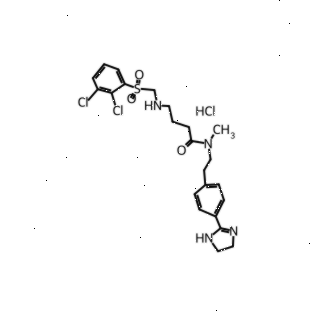 CN(CCc1ccc(C2=NCCN2)cc1)C(=O)CCCNCS(=O)(=O)c1cccc(Cl)c1Cl.Cl